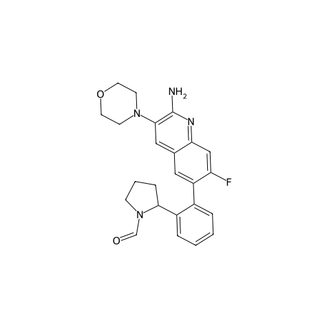 Nc1nc2cc(F)c(-c3ccccc3C3CCCN3C=O)cc2cc1N1CCOCC1